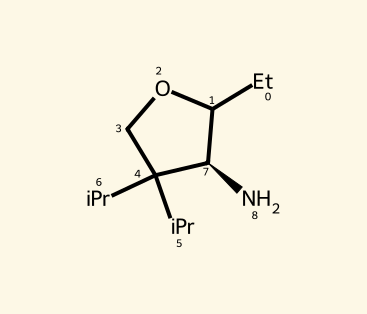 CCC1OCC(C(C)C)(C(C)C)[C@@H]1N